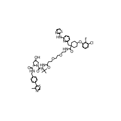 Cc1ncsc1-c1ccc(CNC(=O)[C@@H]2C[C@@H](O)CN2C(=O)[C@@H](NC(=O)CCOCCOCCNC(=O)C2(Cc3cccc(Nc4nccs4)n3)CCC(Oc3cccc(Cl)c3F)CC2)C(C)(C)C)cc1